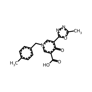 Cc1ccc(Cn2cc(C(=O)O)c(=O)c(-c3nnc(C)o3)c2)cc1